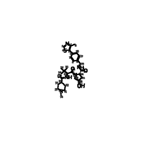 Cc1ncsc1-c1ccc(CNC(=O)[C@@H]2C[C@@H](O)CN2C(=O)C(NC(=O)C2CCN(C)CC2)C(C)(C)C)cc1